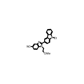 CCn1c2ccccc2c2cc(-c3nc4cc(C#N)ccc4n3CCOC)ccc21